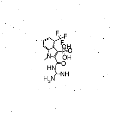 Cn1c(C(=O)NC(=N)N)c(P(=O)(O)O)c2c(C(F)(F)F)c[c]cc21